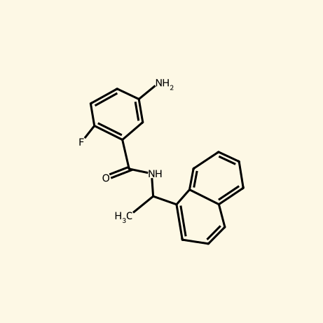 CC(NC(=O)c1cc(N)ccc1F)c1cccc2ccccc12